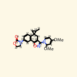 COC1=CC(OC)N(c2noc3c2CC2(CC2C)c2ccc(N4CCOC4=O)cc2-3)C=C1